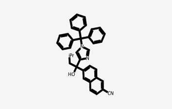 CC(C)CC(O)(c1ccc2cc(C#N)ccc2c1)c1cn(C(c2ccccc2)(c2ccccc2)c2ccccc2)cn1